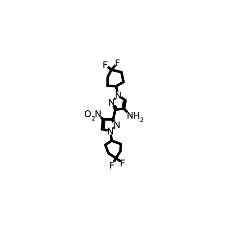 Nc1cn(C2CCC(F)(F)CC2)nc1-c1nn(C2CCC(F)(F)CC2)cc1[N+](=O)[O-]